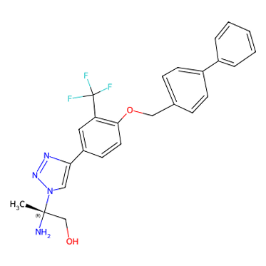 C[C@](N)(CO)n1cc(-c2ccc(OCc3ccc(-c4ccccc4)cc3)c(C(F)(F)F)c2)nn1